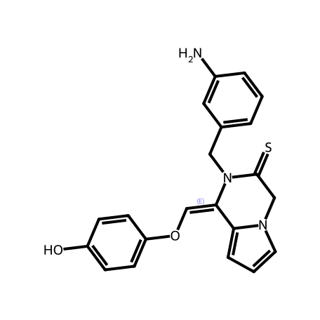 Nc1cccc(CN2C(=S)Cn3cccc3/C2=C\Oc2ccc(O)cc2)c1